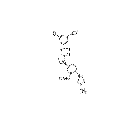 COc1cc(N2CCC(NC(=O)c3cc(Cl)cc(Cl)c3)C2=O)ccc1-n1cnc(C)c1